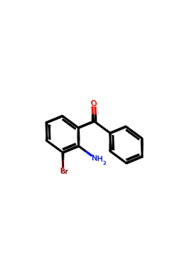 Nc1c(Br)cccc1C(=O)c1ccccc1